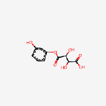 O=C(O)C(O)C(O)C(=O)Oc1cccc(O)c1